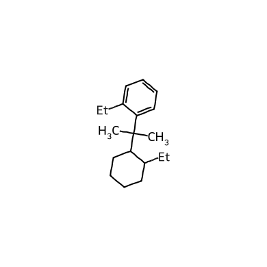 CCc1ccccc1C(C)(C)C1CCCCC1CC